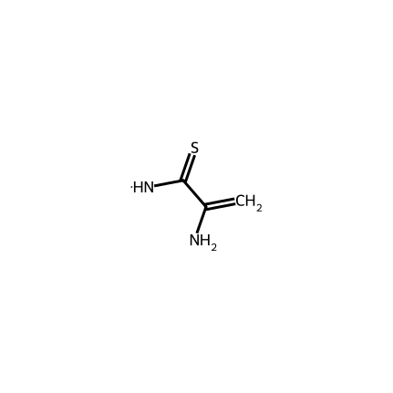 C=C(N)C([NH])=S